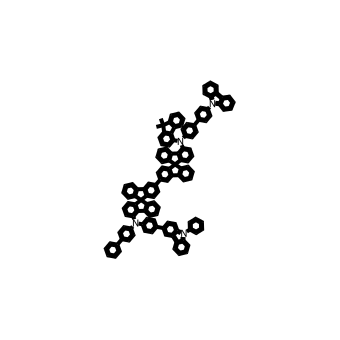 CC1(C)c2ccccc2-c2c(N(c3ccc(-c4ccc(-n5c6ccccc6c6ccccc65)cc4)cc3)c3cccc4c3-c3ccccc3C43c4ccccc4-c4cc(-c5ccc6c(c5)-c5ccccc5C65c6ccccc6-c6c(N(c7ccc(-c8ccccc8)cc7)c7ccc(-c8ccc9c(c8)c8ccccc8n9-c8ccccc8)cc7)cccc65)ccc43)cccc21